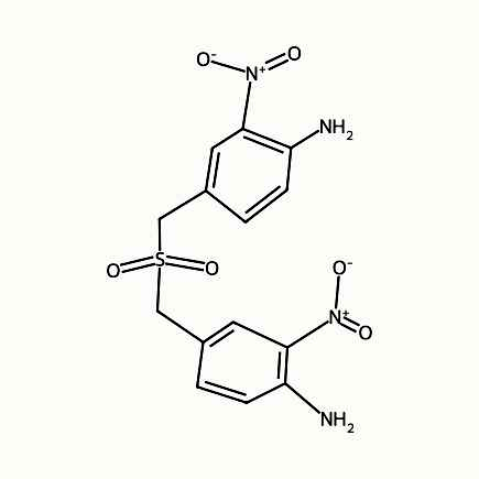 Nc1ccc(CS(=O)(=O)Cc2ccc(N)c([N+](=O)[O-])c2)cc1[N+](=O)[O-]